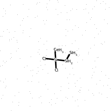 [SiH3][SiH2][Si](Cl)(Cl)[GeH3]